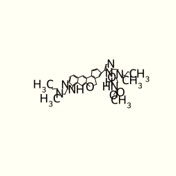 CCCN(C)Cc1nc2ccc3cc4c(cc3c2[nH]1)OCc1cc(-c2cnc(CN(C(=O)CNC(=O)OC)[C@@H](C)CC)[nH]2)ccc1-4